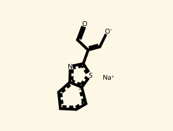 O=C/C(=C\[O-])c1nc2ccccc2s1.[Na+]